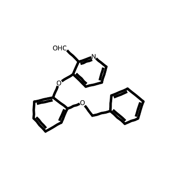 O=Cc1ncccc1Oc1ccccc1OCc1ccccc1